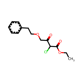 CCOC(=O)C(Cl)C(=O)COCCc1ccccc1